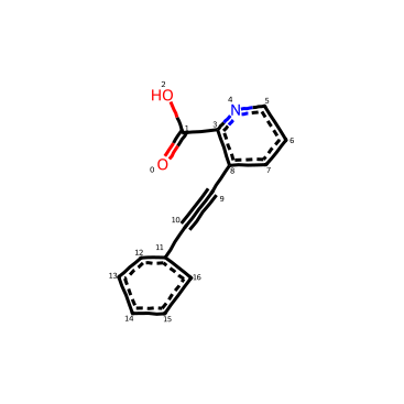 O=C(O)c1ncccc1C#Cc1ccccc1